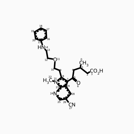 CC(CC(=O)O)CC(=O)c1c(CCOCCNc2ccccc2)n(C)c2ncc(C#N)cc12